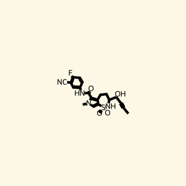 CC#CC(O)C1CCc2c(cn(C)c2C(=O)Nc2ccc(F)c(C#N)c2)S(=O)(=O)N1